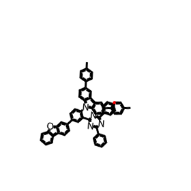 Cc1ccc(-c2ccc3c(c2)c2cc(-c4ccc(C)cc4)ccc2n3-c2ccc(-c3ccc4c(c3)oc3ccccc34)cc2-c2nc(-c3ccccc3)nc(-c3ccccc3)n2)cc1